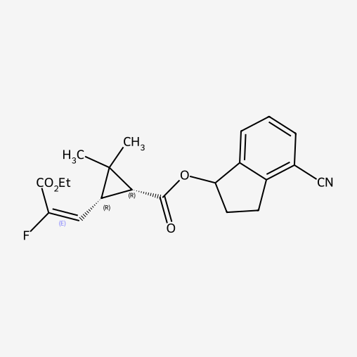 CCOC(=O)/C(F)=C\[C@H]1[C@@H](C(=O)OC2CCc3c(C#N)cccc32)C1(C)C